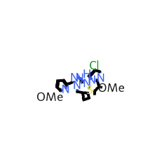 COc1cccc(-c2nnc(NSC(C)C(OC)c3ncc(Cl)cn3)n2CC2CCC2)n1